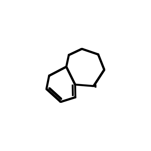 [C]1CCCCC2CC=CC=C12